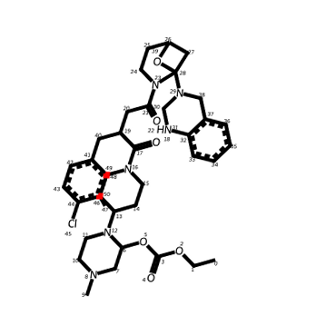 CCOC(=O)OC1CN(C)CCN1C1CCN(C(=O)C(CC(=O)N2CCC3CC2(N2CNc4ccccc4C2)O3)Cc2ccc(Cl)c(C)c2)CC1